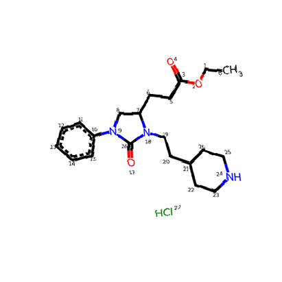 CCOC(=O)CCC1CN(c2ccccc2)C(=O)N1CCC1CCNCC1.Cl